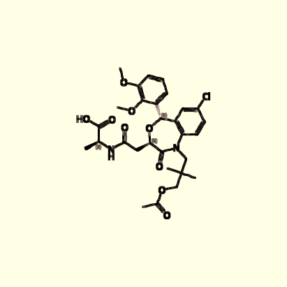 COc1cccc([C@H]2O[C@H](CC(=O)N[C@@H](C)C(=O)O)C(=O)N(CC(C)(C)COC(C)=O)c3ccc(Cl)cc32)c1OC